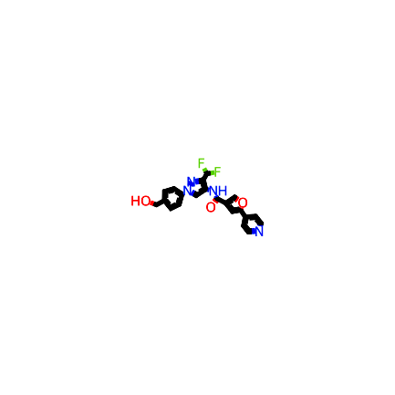 O=C(Nc1cn(-c2ccc(CO)cc2)nc1C(F)F)c1coc(-c2ccncc2)c1